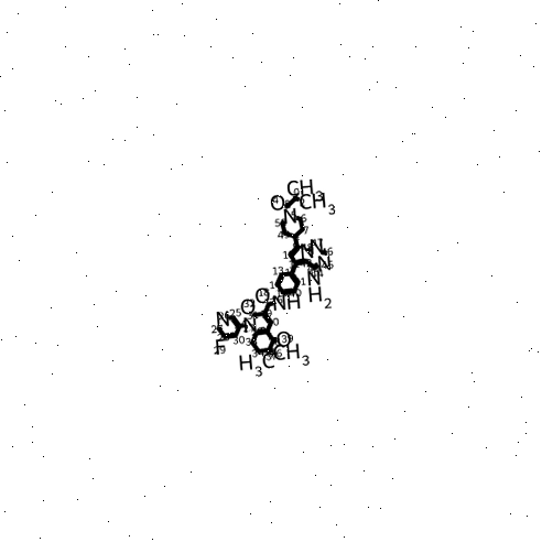 CC(C)C(=O)N1CCC(c2cc(-c3ccc(NC(=O)c4cc5c(n(-c6cncc(F)c6)c4=O)CCC(C)(C)C5=O)cc3)c3c(N)ncnn23)CC1